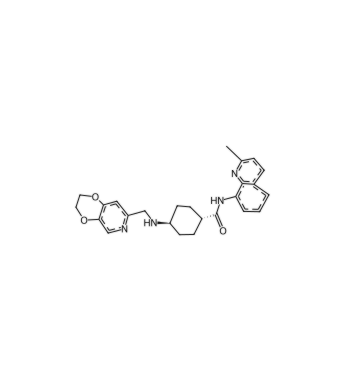 Cc1ccc2cccc(NC(=O)[C@H]3CC[C@H](NCc4cc5c(cn4)OCCO5)CC3)c2n1